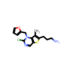 Cc1c(CCCN)sc2c1N(Cc1ccco1)C(Cl)N=C2